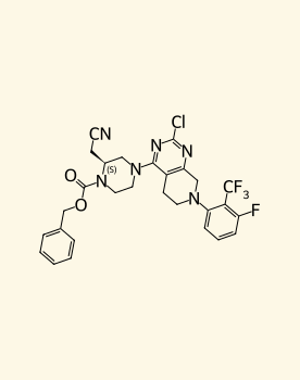 N#CC[C@H]1CN(c2nc(Cl)nc3c2CCN(c2cccc(F)c2C(F)(F)F)C3)CCN1C(=O)OCc1ccccc1